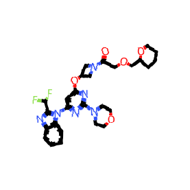 O=C(COCC1CCCCO1)N1CC(Oc2cc(-n3c(C(F)F)nc4ccccc43)nc(N3CCOCC3)n2)C1